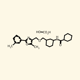 Cc1cccc(-c2nc(COCC3CCCC(NC(=O)C4CCCCC4)C3)c(C)o2)c1.O=C(O)O